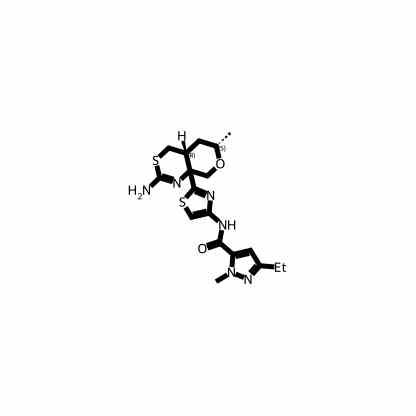 CCc1cc(C(=O)Nc2csc(C34CO[C@@H](C)C[C@H]3CSC(N)=N4)n2)n(C)n1